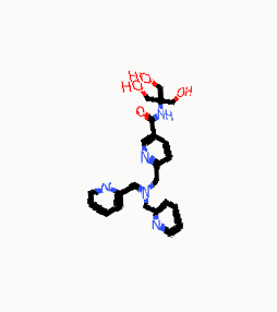 O=C(NC(CO)(CO)CO)c1ccc(CN(Cc2ccccn2)Cc2ccccn2)nc1